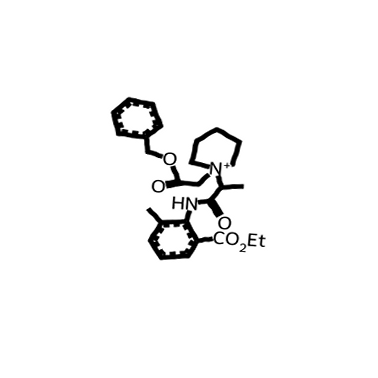 CCOC(=O)c1cccc(C)c1NC(=O)C(C)[N+]1(CC(=O)OCc2ccccc2)CCCCC1